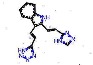 C(=C\c1[nH]c2ccccc2c1/C=C/c1nnn[nH]1)/c1nnc[nH]1